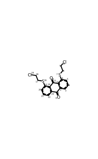 O=C1c2cccc(SCCCl)c2C(=O)c2c(SCCCl)cccc21